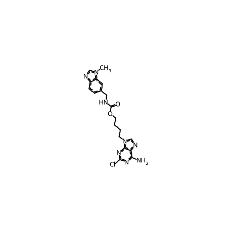 Cn1cnc2ccc(CNC(=O)OCCCCn3cnc4c(N)nc(Cl)nc43)cc21